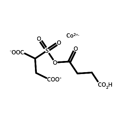 O=C([O-])CC(C(=O)[O-])S(=O)(=O)OC(=O)CCC(=O)O.[Co+2]